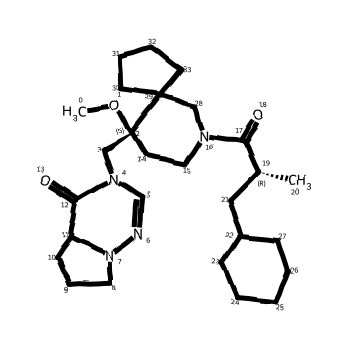 CO[C@@]1(CN2C=NN3CCCC3C2=O)CCN(C(=O)[C@H](C)CC2CCCCC2)CC12CCCC2